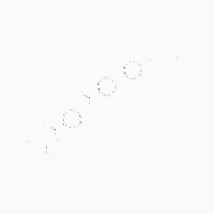 CCCCCCCCCCCCc1ccc(-c2ccc(C(=O)Oc3ccc(C(=O)OC(CCCCCCCC)C(F)(F)F)cc3)cc2)cc1